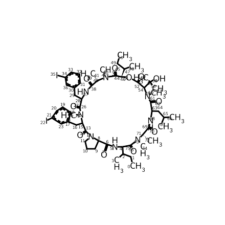 CCC(C)C1NC(=O)C2CCCN2C(=O)C(Cc2cccc(I)c2)N(C)C(=O)C(Cc2cccc(I)c2)NC(=O)[C@H](C)N(C)C(=O)[C@@H](C(C)CC)OC(=O)C(C(C)(C)O)N(C)C(=O)C(CC(C)C)NC(=O)[C@H](C)N(C)C1=O